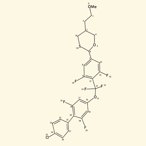 COCCC1COC(c2cc(F)c(C(F)(F)Oc3cc(F)c(-c4ccc(Cl)cc4)c(F)c3)c(F)c2)SC1